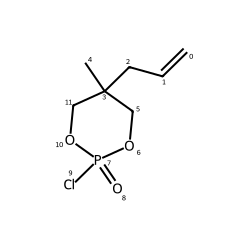 C=CCC1(C)COP(=O)(Cl)OC1